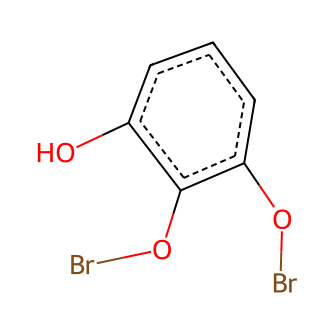 Oc1cccc(OBr)c1OBr